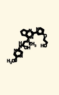 COc1cnc(NC(O)CN(C)c2nc(-c3cc(OCCO)ccn3)nc3c2CCC3)cn1